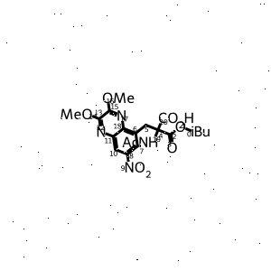 CCC(C)OC(=O)C(Cc1cc([N+](=O)[O-])cc2nc(OC)c(OC)nc12)(NC(C)=O)C(=O)O